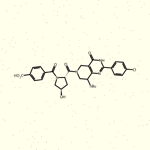 CCCCC1CN(C(=O)[C@@H]2C[C@@H](O)CN2C(=O)c2ccc(C(=O)O)cc2)Cc2c1nc(-c1ccc(Cl)cc1)[nH]c2=O